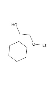 C1CCCCC1.CCOCCO